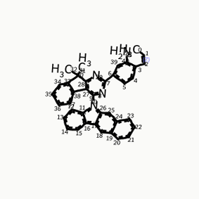 C/C=C\c1ccc(-c2nc(-n3c4ccccc4c4cc5ccccc5cc43)c3c(n2)C(C)(C)c2ccccc2-3)cc1N